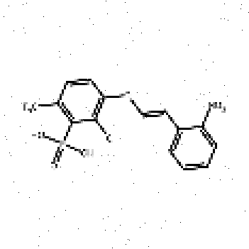 O=[N+]([O-])c1ccccc1C=COc1ccc(C(F)(F)F)c(P(=O)(O)O)c1Cl